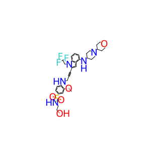 COc1cc(S(=O)(=O)NCCO)ccc1NCC#Cc1cc2c(NC3CCN(C4CCOCC4)CC3)cccc2n1CC(F)(F)F